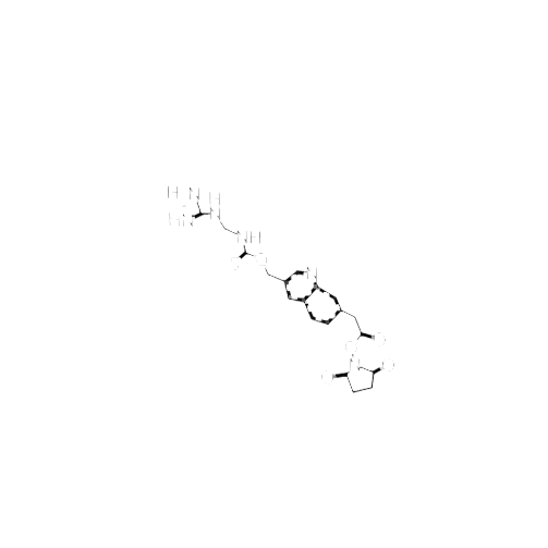 N=C(N)NCNC(=S)OCc1cnc2cc(CC(=O)ON3C(=O)CCC3=O)ccc2c1